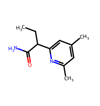 CCC(C(N)=O)c1cc(C)cc(C)n1